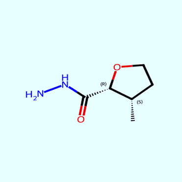 C[C@H]1CCO[C@H]1C(=O)NN